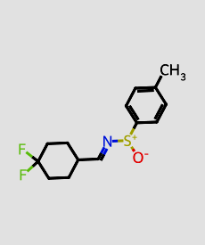 Cc1ccc([S+]([O-])N=CC2CCC(F)(F)CC2)cc1